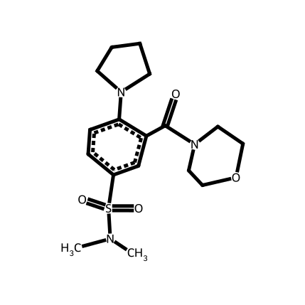 CN(C)S(=O)(=O)c1ccc(N2CCCC2)c(C(=O)N2CCOCC2)c1